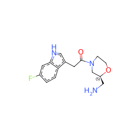 NC[C@H]1CN(C(=O)Cc2c[nH]c3cc(F)ccc23)CCO1